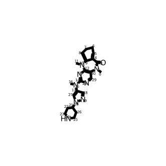 CN1C(=O)C2=CCCC=C2N(C)c2nc(N(C)c3cnn(C4CCNCC4)c3)ncc21